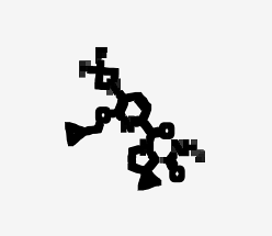 NC(=O)[C@H]1N(C(=O)c2ccc(N3CC(F)(F)C3)c(OCC3CC3)n2)CCC12CC2